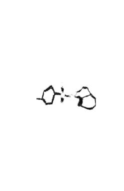 O=S(=O)(c1ccc(Br)cc1)n1ccc2c1=CCCC=2